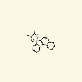 CC1OC(c2[c]c3ccccc3cc2)(c2ccccc2)OC1C